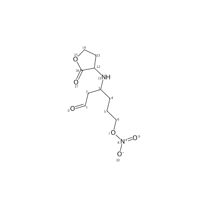 O=CCC(CCCO[N+](=O)[O-])NC1CCOC1=O